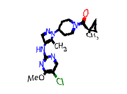 COc1nc(Nc2cnn(C3CCN(C(=O)C4(C)CC4)CC3)c2C)ncc1Cl